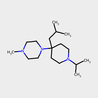 CC(C)CC1(N2CCN(C)CC2)CCN(C(C)C)CC1